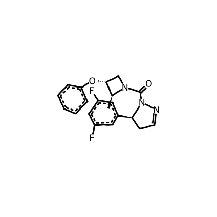 C[C@H]1[C@H](Oc2ccccc2)CN1C(=O)N1N=CC[C@H]1c1cc(F)cc(F)c1